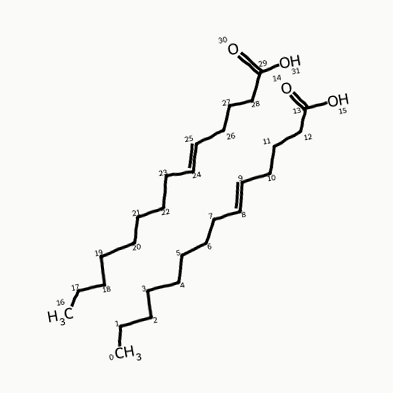 CCCCCCCCC=CCCCC(=O)O.CCCCCCCCC=CCCCC(=O)O